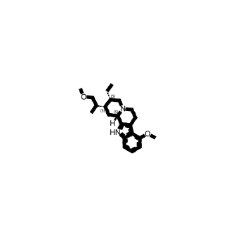 CC[C@@H]1CN2CCc3c([nH]c4cccc(OC)c34)[C@@H]2C[C@@H]1C(C)COC